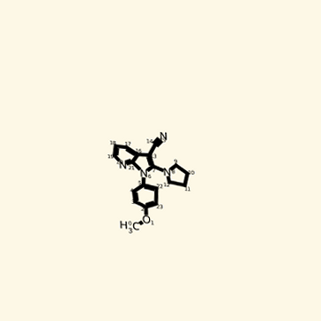 COc1ccc(-n2c(N3CCCC3)c(C#N)c3cccnc32)cc1